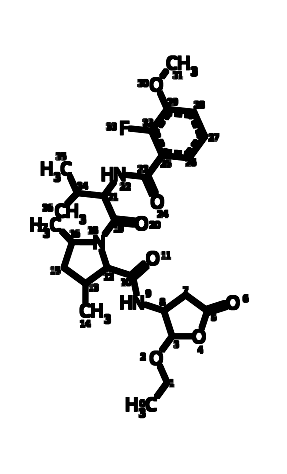 CCOC1OC(=O)CC1NC(=O)C1C(C)CC(C)N1C(=O)C(NC(=O)c1cccc(OC)c1F)C(C)C